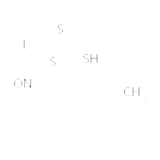 CC1CCC1S(=S)(S)(I)N=O